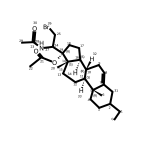 CCC1CC[C@@]2(C)C(=CC[C@@H]3[C@@H]2CC[C@@]2(C)[C@H]3CC[C@]2(OC(C)=O)C(CBr)NC(C)=O)C1